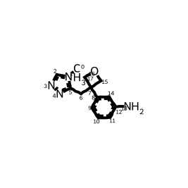 Cn1cnnc1CC1(c2cccc(N)c2)COC1